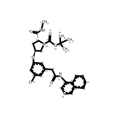 CNC(=O)[C@H]1C[C@H](Oc2cc(Cl)cc(CC(=O)Nc3cncc4ccccc34)c2)CN1C(=O)OC(C)(C)C